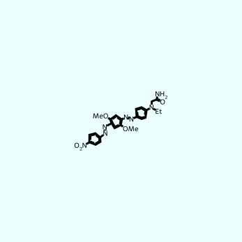 CCN(CC(N)=O)c1ccc(N=Nc2cc(OC)c(N=Nc3ccc([N+](=O)[O-])cc3)cc2OC)cc1